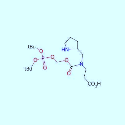 CC(C)(C)OP(=O)(OCOC(=O)N(CCC(=O)O)CC1CCCN1)OC(C)(C)C